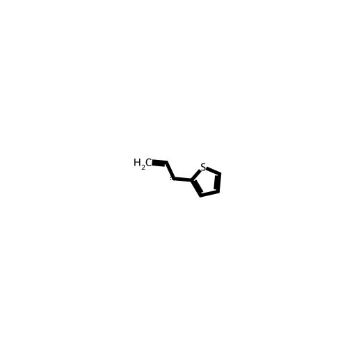 C=C[C]c1cccs1